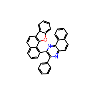 c1ccc(-c2nc3ccc4ccccc4c3nc2-c2cccc3ccc4c5ccccc5oc4c23)cc1